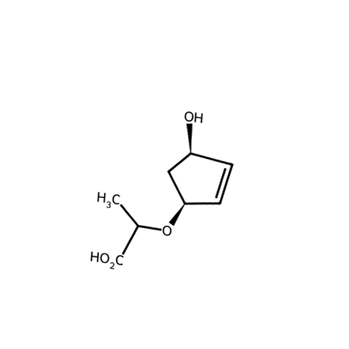 CC(O[C@@H]1C=C[C@H](O)C1)C(=O)O